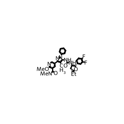 CCN1C[C@@H](NC(=O)Nc2c(C)c(-c3cnc(OC)c(C(=O)NC)c3)nn2-c2ccccc2)[C@H](c2ccc(F)c(F)c2)O1